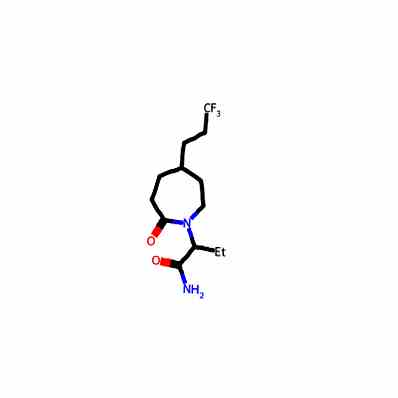 CCC(C(N)=O)N1CCC(CCC(F)(F)F)CCC1=O